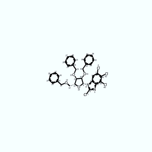 Clc1cc2c(nc(Cl)n2[C@@H]2O[C@H](COCc3ccccc3)[C@@H](OCc3ccccc3)[C@H]2OCc2ccccc2)c(Cl)c1Cl